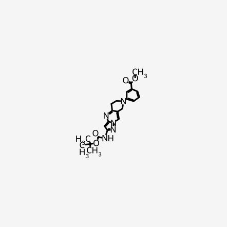 COC(=O)c1cccc(N2CCc3nc4cc(NC(=O)OC(C)(C)C)nn4cc3C2)c1